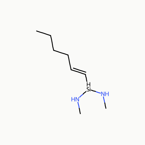 CCCCC=C[SiH](NC)NC